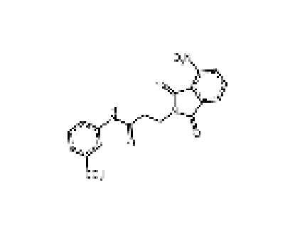 O=C(CCN1C(=O)c2cccc([N+](=O)[O-])c2C1=O)Nc1cccc(C(=O)O)c1